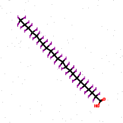 O=C(O)C(I)(I)C(I)(I)C(I)(I)C(I)(I)C(I)(I)C(I)(I)C(I)(I)C(I)(I)C(I)(I)C(I)(I)C(I)(I)C(I)(I)C(I)(I)C(I)(I)C(I)(I)C(I)(I)C(I)(I)C(I)(I)C(I)(I)C(I)(I)C(I)(I)I